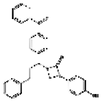 O=C(c1ccccc1)c1ccc(C(CCc2ccccc2)C2CN(c3ccc(O)cc3)C2=O)cc1